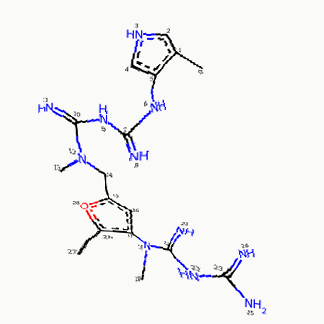 Cc1c[nH]cc1NC(=N)NC(=N)N(C)Cc1cc(N(C)C(=N)NC(=N)N)c(C)o1